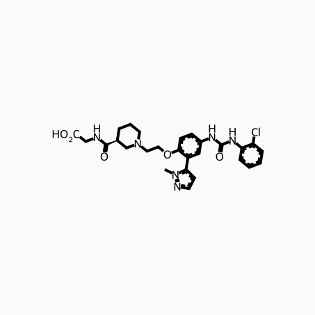 Cn1nccc1-c1cc(NC(=O)Nc2ccccc2Cl)ccc1OCCN1CCC[C@H](C(=O)NCC(=O)O)C1